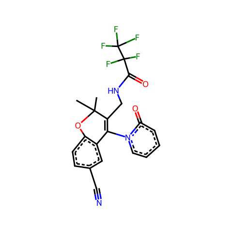 CC1(C)Oc2ccc(C#N)cc2C(n2ccccc2=O)=C1CNC(=O)C(F)(F)C(F)(F)F